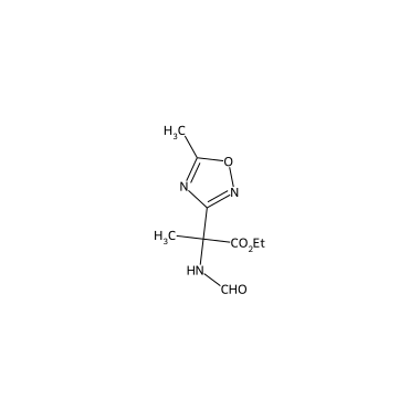 CCOC(=O)C(C)(NC=O)c1noc(C)n1